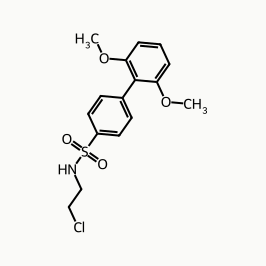 COc1cccc(OC)c1-c1ccc(S(=O)(=O)NCCCl)cc1